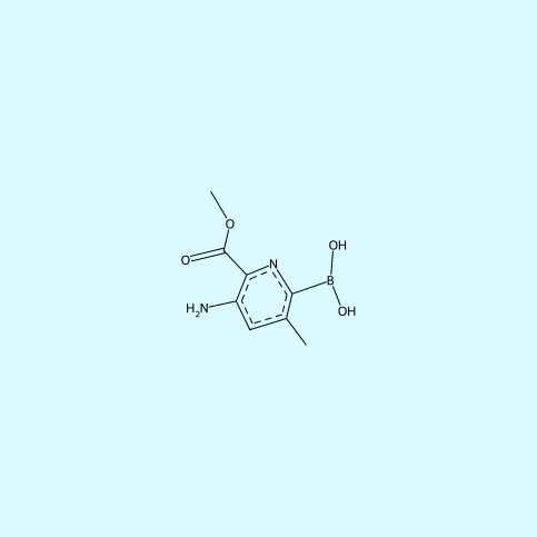 COC(=O)c1nc(B(O)O)c(C)cc1N